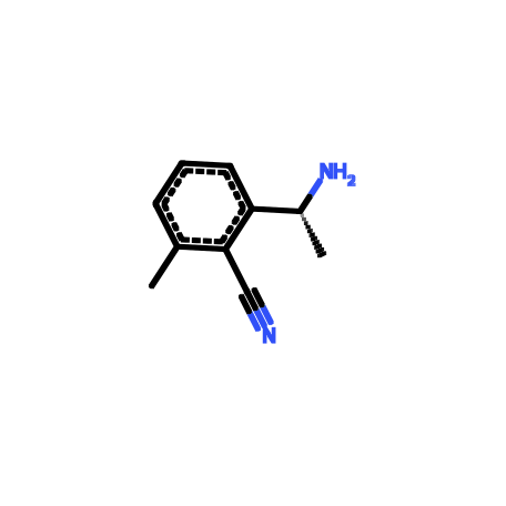 Cc1cccc([C@@H](C)N)c1C#N